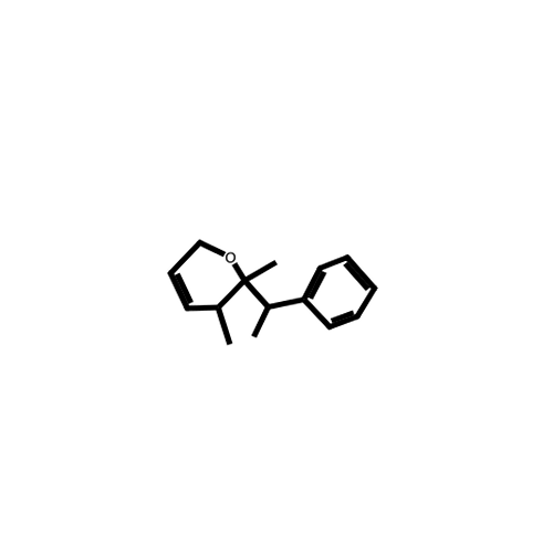 CC1C=CCOC1(C)C(C)c1ccccc1